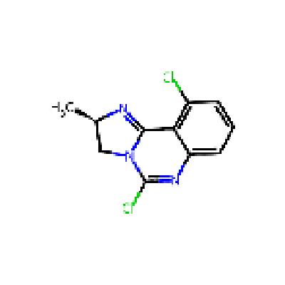 C[C@@H]1CN2C(Cl)=Nc3cccc(Cl)c3C2=N1